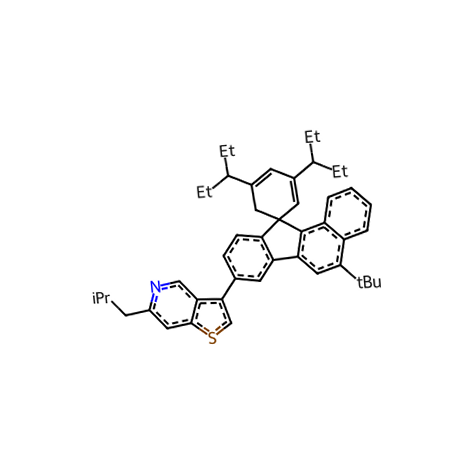 CCC(CC)C1=CC2(CC(C(CC)CC)=C1)c1ccc(-c3csc4cc(CC(C)C)ncc34)cc1-c1cc(C(C)(C)C)c3ccccc3c12